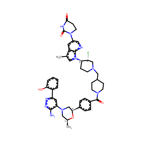 Cc1cn([C@@H]2CCN(CC3CCN(C(=O)c4ccc([C@@H]5CN(c6cc(-c7ccccc7O)nnc6N)C[C@H](C)O5)cc4)CC3)C[C@H]2F)c2ncc(N3CCC(=O)NC3=O)cc12